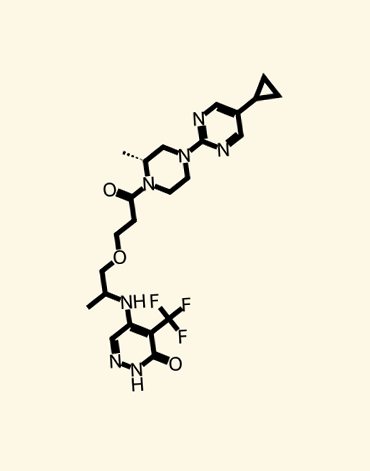 CC(COCCC(=O)N1CCN(c2ncc(C3CC3)cn2)C[C@H]1C)Nc1cn[nH]c(=O)c1C(F)(F)F